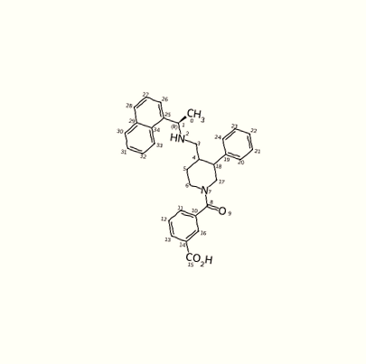 C[C@@H](NCC1CCN(C(=O)c2cccc(C(=O)O)c2)CC1c1ccccc1)c1cccc2ccccc12